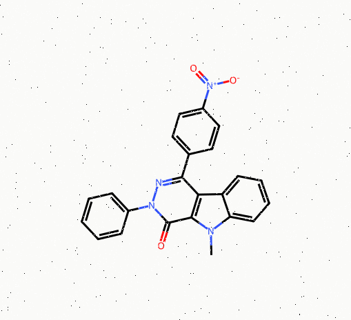 Cn1c2ccccc2c2c(-c3ccc([N+](=O)[O-])cc3)nn(-c3ccccc3)c(=O)c21